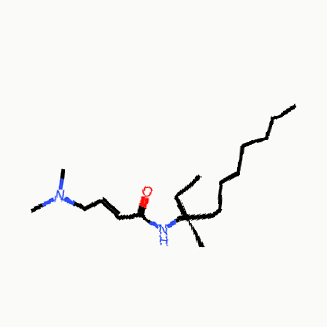 CCCCCCC[C@@](C)(CC)NC(=O)/C=C/CN(C)C